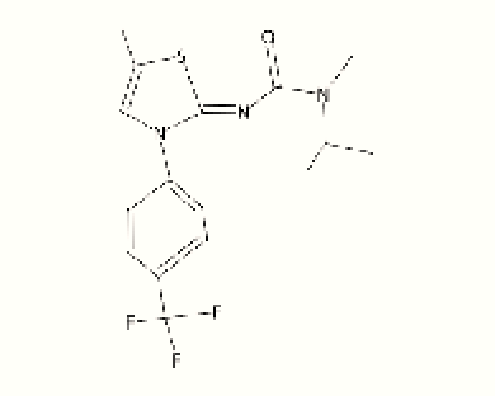 Cc1cn(-c2ccc(C(F)(F)F)cc2)c(=NC(=O)N(C)C(C)C)s1